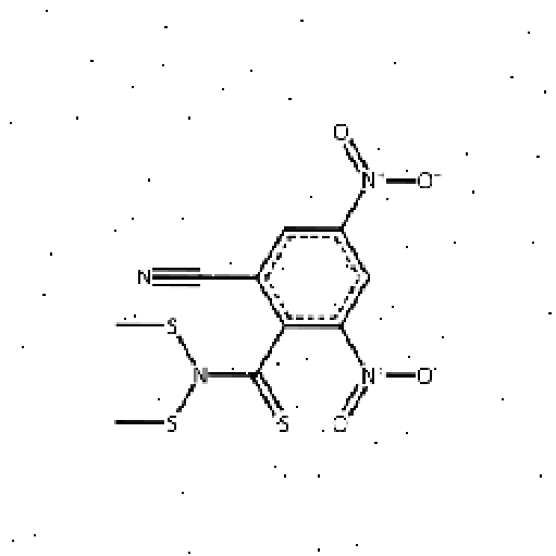 CSN(SC)C(=S)c1c(C#N)cc([N+](=O)[O-])cc1[N+](=O)[O-]